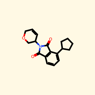 O=C1c2cccc(C3CCCC3)c2C(=O)N1C1C=CCOC1